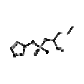 CCCC(N)OP(=O)(F)On1ccnc1